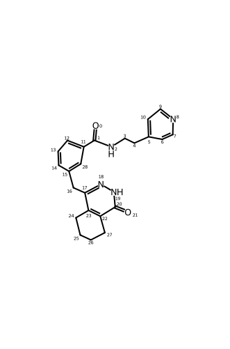 O=C(NCCc1ccncc1)c1cccc(Cc2n[nH]c(=O)c3c2CCCC3)c1